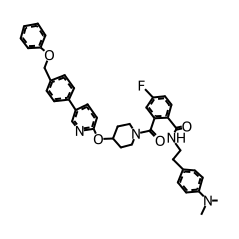 CN(C)c1ccc(CCNC(=O)c2ccc(F)cc2C(=O)N2CCC(Oc3ccc(-c4ccc(COc5ccccc5)cc4)cn3)CC2)cc1